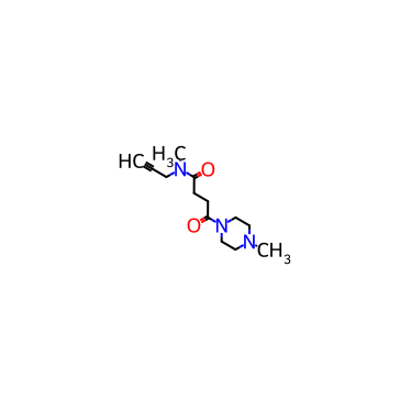 C#CCN(C)C(=O)CCC(=O)N1CCN(C)CC1